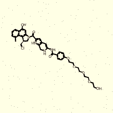 Cc1cccc2c(O)cc3c(c12)[C@H](CCl)CN3C(=O)c1cc2c([nH]1)CNC(NC(=O)c1ccc(OCCOCCOCCOCCO)cc1)=C2